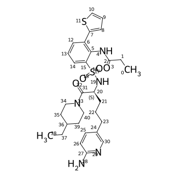 CCC(=O)Nc1c(-c2cccs2)cccc1S(=O)(=O)N[C@@H](CCCc1ccc(N)nc1)C(=O)N1CCC(CC)CC1